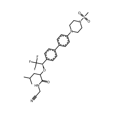 CC(C)CC(O[C@H](c1ccc(-c2ccc(N3CCN(S(C)(=O)=O)CC3)cc2)cc1)C(F)(F)F)C(=O)NCC#N